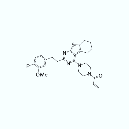 C=CC(=O)N1CCN(c2nc(CCc3ccc(F)c(OC)c3)nc3sc4c(c23)CCCC4)CC1